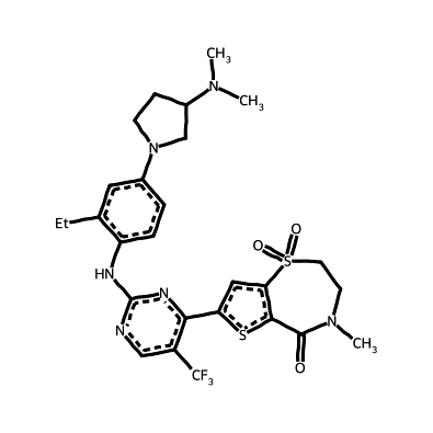 CCc1cc(N2CCC(N(C)C)C2)ccc1Nc1ncc(C(F)(F)F)c(-c2cc3c(s2)C(=O)N(C)CCS3(=O)=O)n1